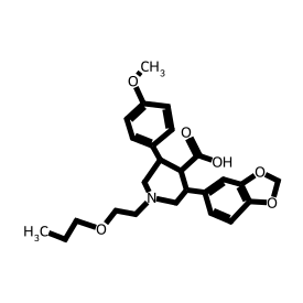 CCCOCCN1CC(c2ccc(OC)cc2)C(C(=O)O)C(c2ccc3c(c2)OCO3)C1